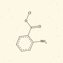 Nc1ccccc1C(=O)OCl